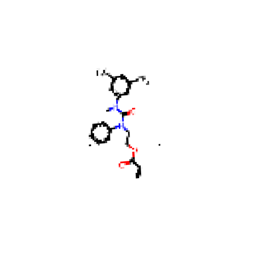 C=CC(=O)OCCN(C(=O)N(C)c1cc(C(F)(F)F)cc(C(F)(F)F)c1)c1ccccc1